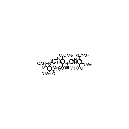 CNc1cc(C(=O)OC)c(Nc2ccc(Nc3cc(C(O)OC)c(Nc4ccc(Nc5cc(C(=O)OC)c(NC)cc5C(=O)OC)cc4)cc3C(=O)OC)cc2)cc1C(=O)OC